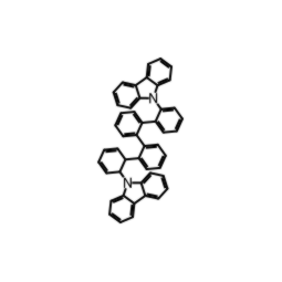 C1=CC(c2ccccc2-c2ccccc2-c2ccccc2-n2c3ccccc3c3ccccc32)C(n2c3ccccc3c3ccccc32)C=C1